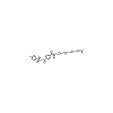 C=C(C)COCCOCCOCCOCCNC(=O)c1ccc(C(=O)CCS(=O)(=O)c2ccc(C)cc2)cc1